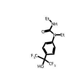 CCNC(=O)N(CC)c1ccc(C(O)(C(F)(F)F)C(F)(F)F)cc1